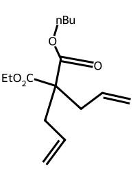 C=CCC(CC=C)(C(=O)OCC)C(=O)OCCCC